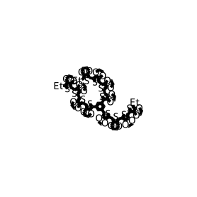 CCc1sc(-c2sc(-c3sc(-c4sc(-c5cc(-c6sc(-c7sc(-c8sc(-c9sc(CC)c%10c9OCCO%10)c9c8OCCO9)c8c7OCCO8)c7c6OCCO7)cc(-c6sc(-c7sc(-c8sc(-c9sc(CC)c%10c9OCCO%10)c9c8OCCO9)c8c7OCCO8)c7c6OCCO7)c5)c5c4OCCO5)c4c3OCCO4)c3c2OCCO3)c2c1OCCO2